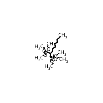 CCCCCCCCC(C[Si](OCC)(OCC)OCC)[Si](OCC)(OCC)OCC